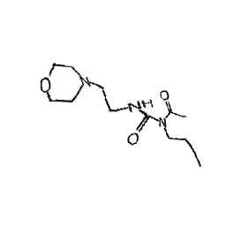 CCCN(C(C)=O)C(=O)NCCN1CCOCC1